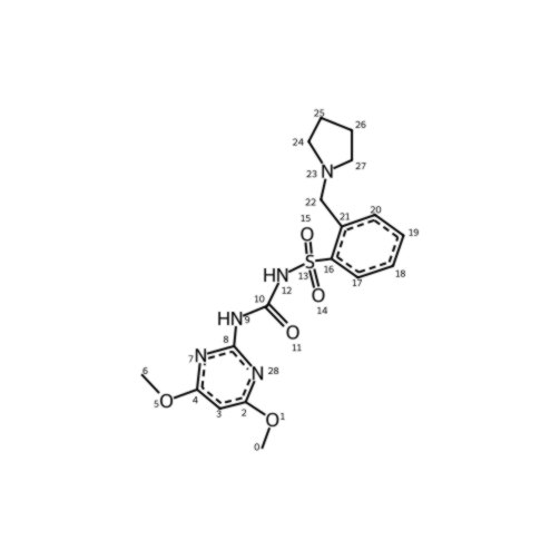 COc1cc(OC)nc(NC(=O)NS(=O)(=O)c2ccccc2CN2CCCC2)n1